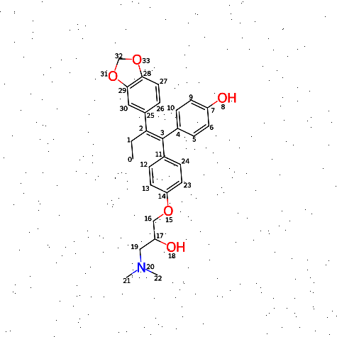 CC/C(=C(/c1ccc(O)cc1)c1ccc(OCC(O)CN(C)C)cc1)c1ccc2c(c1)OCO2